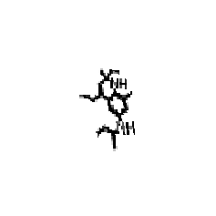 CCC1=CC(C)(CC)Nc2c(C)cc(NC(C)CC)cc21